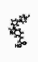 CN1CCN(c2cccc(-n3cnc4cc(C=CC(=O)O)ccc43)c2)CC1